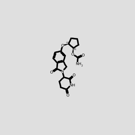 NC(=O)O[C@@H]1CCC[C@@H]1Oc1ccc2c(c1)CN(C1CCC(=O)NC1=O)C2=O